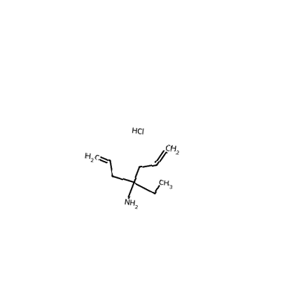 C=CCC(N)(CC)CC=C.Cl